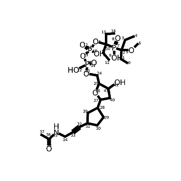 CCC(CC)(OC)P(=O)(O)C(CC)(CC)OP(=O)(O)OP(=O)(O)OCC1OC(C2CCC(C#CCNC(C)=O)C2)CC1O